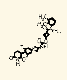 Cc1cccc(N(C)C(=O)C23CC(OC(=O)NC4CN(c5cc(F)c(C6CCC(=O)NC6=O)c(F)c5)C4)(C2)C3)c1C